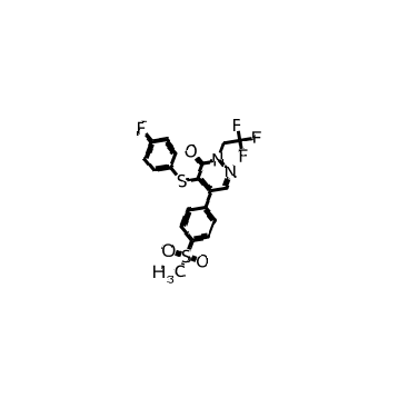 CS(=O)(=O)c1ccc(-c2cnn(CC(F)(F)F)c(=O)c2Sc2ccc(F)cc2)cc1